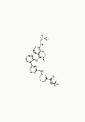 Cc1ccc2c(NC[C@@H](C)O)cccc2c1Oc1ncccc1-c1ccnc(NC2CCCN(C(=O)OC(C)(C)C)C2)n1